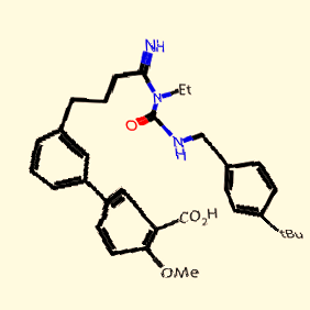 CCN(C(=N)CCCc1cccc(-c2ccc(OC)c(C(=O)O)c2)c1)C(=O)NCc1ccc(C(C)(C)C)cc1